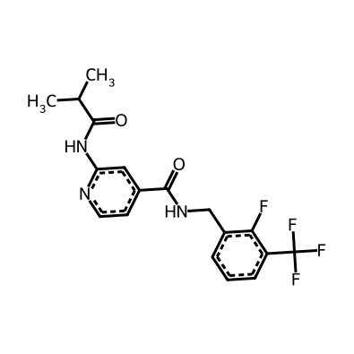 CC(C)C(=O)Nc1cc(C(=O)NCc2cccc(C(F)(F)F)c2F)ccn1